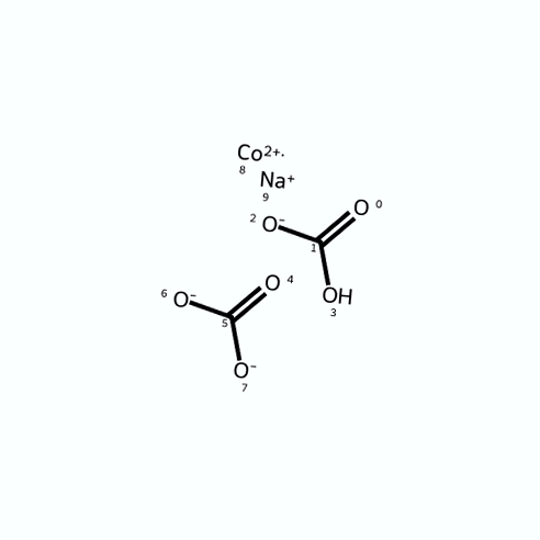 O=C([O-])O.O=C([O-])[O-].[Co+2].[Na+]